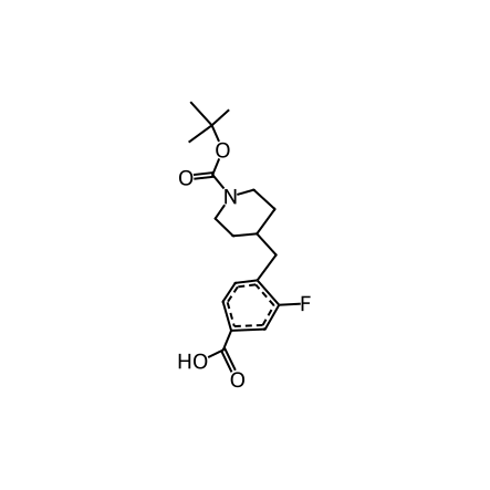 CC(C)(C)OC(=O)N1CCC(Cc2ccc(C(=O)O)cc2F)CC1